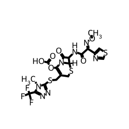 CON=C(C(=O)NC1C(=O)N2C(OC(=O)O)=C(CSc3nnc(C(F)(F)F)n3C)CS[C@@H]12)c1cscn1